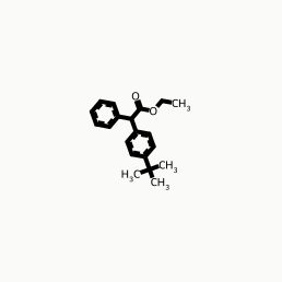 CCOC(=O)C(c1ccccc1)c1ccc(C(C)(C)C)cc1